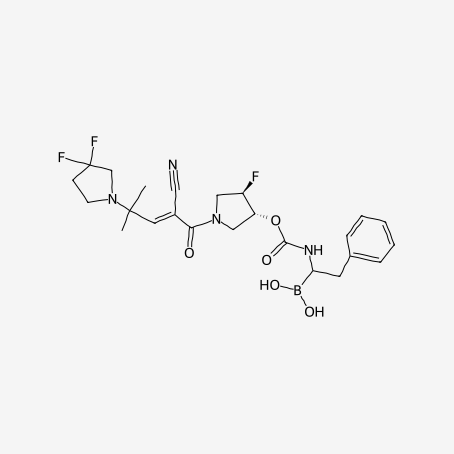 CC(C)(C=C(C#N)C(=O)N1C[C@@H](F)[C@H](OC(=O)NC(Cc2ccccc2)B(O)O)C1)N1CCC(F)(F)C1